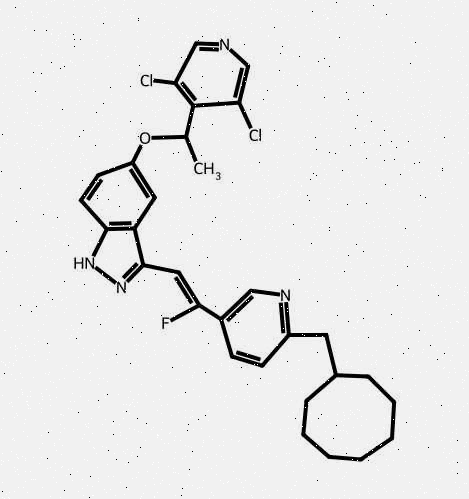 CC(Oc1ccc2[nH]nc(/C=C(\F)c3ccc(CC4CCCCCCC4)nc3)c2c1)c1c(Cl)cncc1Cl